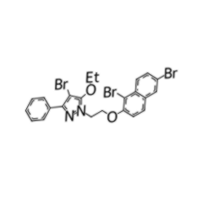 CCOc1c(Br)c(-c2ccccc2)nn1CCOc1ccc2cc(Br)ccc2c1Br